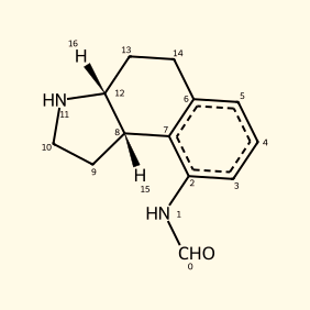 O=CNc1cccc2c1[C@@H]1CCN[C@@H]1CC2